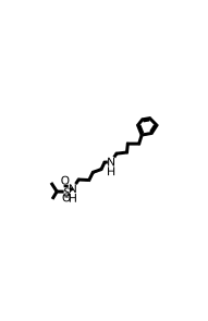 CC(C)S(=O)(=O)NCCCCCNCCCCc1ccccc1